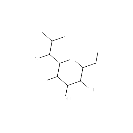 CC(C)C(N)C1OC(CO)C(O)C(O)C1O